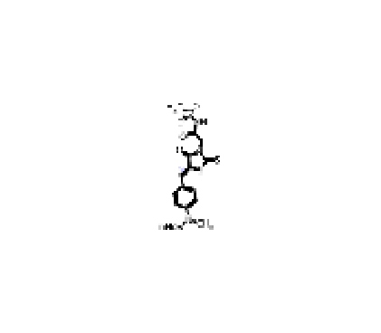 CCCCCCN(C)c1ccc(/C=C2\SC(=S)N(CC(=O)NS(C)(=O)=O)C2=O)cc1